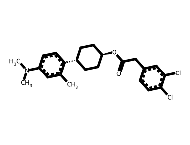 Cc1cc(N(C)C)ccc1[C@H]1CC[C@H](OC(=O)Cc2ccc(Cl)c(Cl)c2)CC1